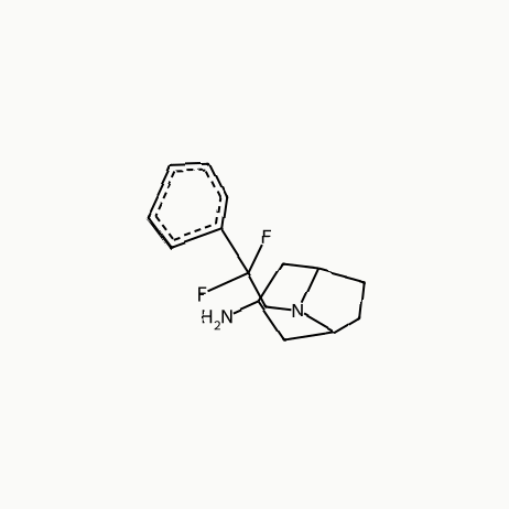 NC1CC2CCC(C1)N2CC(F)(F)c1ccccc1